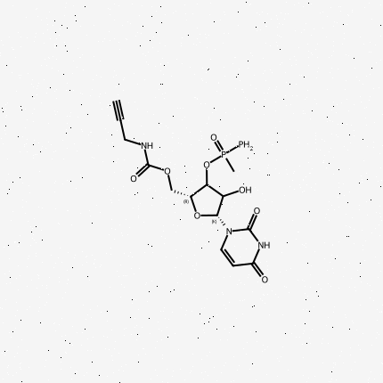 C#CCNC(=O)OC[C@H]1O[C@@H](n2ccc(=O)[nH]c2=O)C(O)C1OP(C)(=O)P